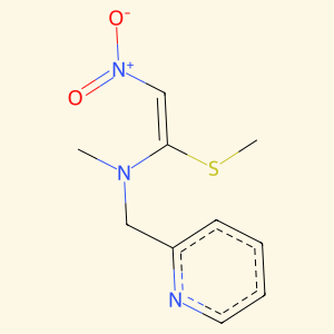 CS/C(=C/[N+](=O)[O-])N(C)Cc1ccccn1